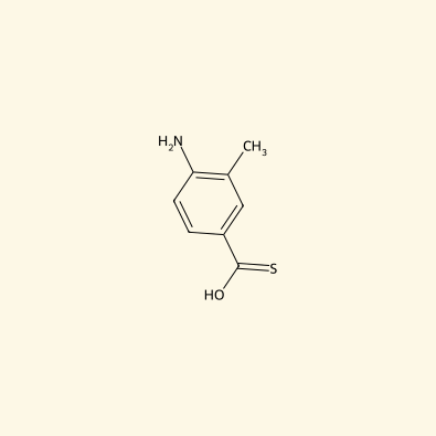 Cc1cc(C(O)=S)ccc1N